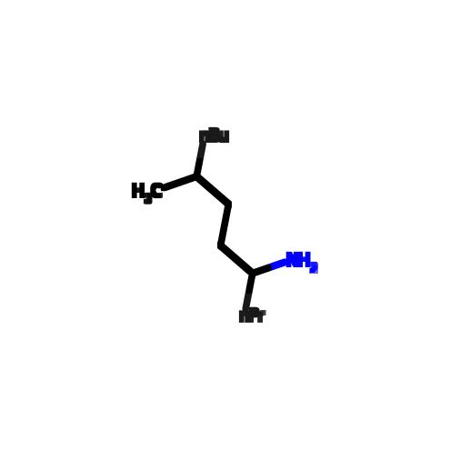 CCCCC(C)CCC(N)CCC